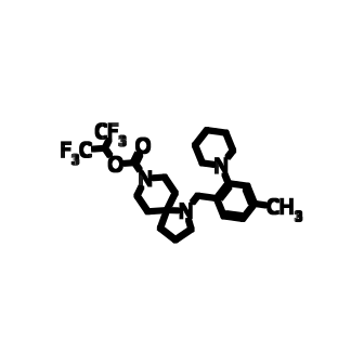 Cc1ccc(CN2CCCC23CCN(C(=O)OC(C(F)(F)F)C(F)(F)F)CC3)c(N2CCCCC2)c1